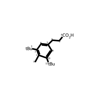 Cc1c(C(C)(C)C)cc(CCC(=O)O)cc1C(C)(C)C